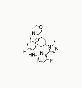 Cc1ncc(-c2nc(Nc3ccc(CN4CCOCC4)cc3F)ncc2F)n1C1CCOCC1